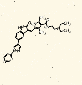 CCN(CC)CCNC(=O)c1c(C)[nH]c(/C=C2\C(=O)Nc3ccc(-c4cnn(-c5ccncn5)c4)cc32)c1C